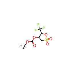 COC(=O)OC1CS(=O)(=O)OC1C(F)(F)F